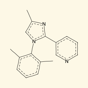 Cc1cn(-c2c(C)cccc2C)c(-c2cccnc2)n1